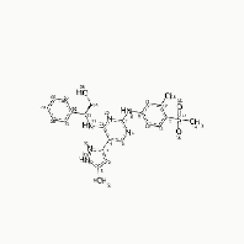 Cc1cc(-c2cnc(Nc3ccc(S(C)(=O)=O)c(Cl)c3)nc2N[C@H](CO)c2ccccc2)n[nH]1